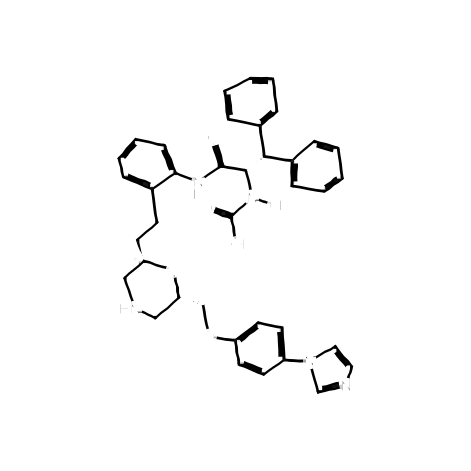 CN(C(=O)O)[C@H](C(=O)Nc1ccccc1CC[C@@H]1CNC[C@@H](COc2ccc(-n3ccnc3)cc2)O1)C(c1ccccc1)c1ccccc1